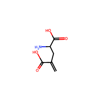 C=C(CC(N)C(=O)O)C(=O)O